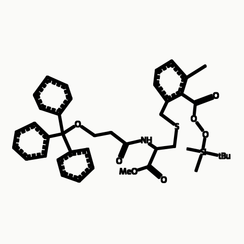 COC(=O)C(CSCc1cccc(C)c1C(=O)OO[Si](C)(C)C(C)(C)C)NC(=O)CCOC(c1ccccc1)(c1ccccc1)c1ccccc1